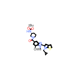 COc1cc(C(=O)N2CCC[C@@H](NC(=O)OC(C)(C)C)C2)cc2nc(-c3cc4ccsc4n3CC3CC3)n(C)c12